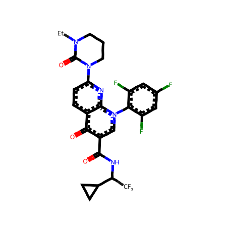 CCN1CCCN(c2ccc3c(=O)c(C(=O)NC(C4CC4)C(F)(F)F)cn(-c4c(F)cc(F)cc4F)c3n2)C1=O